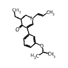 CC=CN1C=C(c2cccc(OC(C)C)c2)C(=O)C(CC)C1